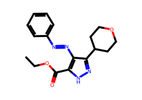 CCOC(=O)c1[nH]nc(C2CCOCC2)c1N=Nc1ccccc1